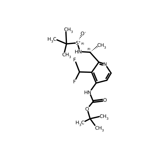 C[C@@H](N[S@@+]([O-])C(C)(C)C)c1nccc(NC(=O)OC(C)(C)C)c1C(F)F